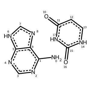 Nc1ncnc2[nH]cnc12.O=c1cc[nH]c(=O)[nH]1